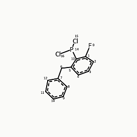 Fc1cccc(Cc2ccccc2)c1P(Cl)Cl